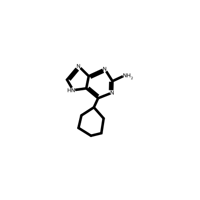 Nc1nc(C2CCCCC2)c2[nH]cnc2n1